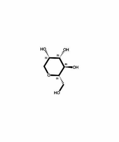 OC[C@@H]1OC[C@H](O)[C@H](O)[C@H]1O